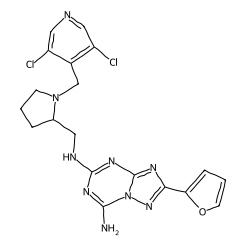 Nc1nc(NCC2CCCN2Cc2c(Cl)cncc2Cl)nc2nc(-c3ccco3)nn12